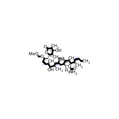 C=C/C=C\[C@H](C)[C@H](OC(N)=O)[C@@H](C)[C@H](O)[C@@H](C)C/C(C)=C\[C@H](C)[C@@H](O)[C@@H](C)/C=C\[C@H](C[C@@H]1OC(=O)[C@H](C)[C@@H](O)[C@H]1C)OCOC